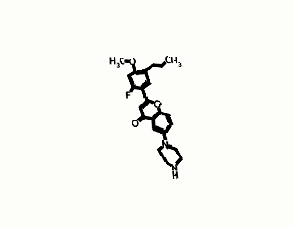 CCCc1cc(-c2cc(=O)c3cc(N4CCNCC4)ccc3o2)c(F)cc1OC